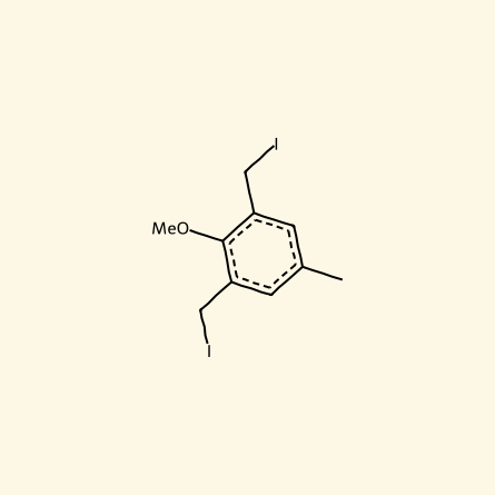 COc1c(CI)cc(C)cc1CI